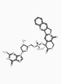 CC[C@@]1(OP(=O)(O)OC[C@H]2O[C@@H](n3cnc4c(=O)[nH]c(N)nc43)C[C@@H]2O)C(=O)OCc2c1cc1n(c2=O)Cc2cc3ccccc3nc2-1